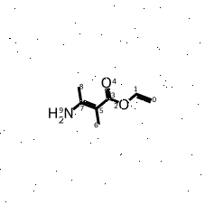 C=COC(=O)/C(C)=C(\C)N